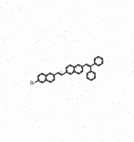 Brc1ccc2cc(/C=C/c3ccc4cc(C=C(c5ccccc5)c5ccccc5)ccc4c3)ccc2c1